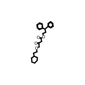 O=C(COCCC1CCCCC1)CC(=O)OCCC(c1ccccc1)c1ccccc1